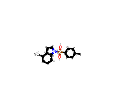 Cc1ccc(S(=O)(=O)n2ccc3c(C#N)cccc32)cc1